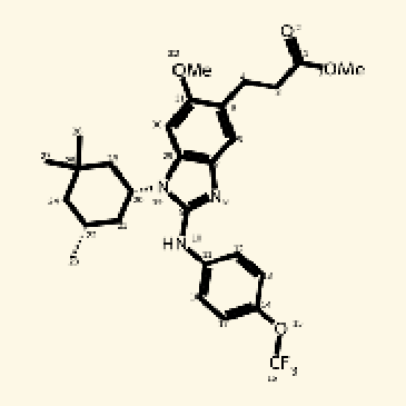 COC(=O)CCc1cc2nc(Nc3ccc(OC(F)(F)F)cc3)n([C@@H]3C[C@H](C)CC(C)(C)C3)c2cc1OC